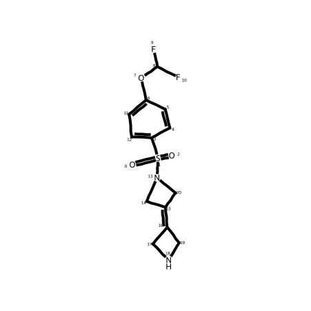 O=S(=O)(c1ccc(OC(F)F)cc1)N1CC(=C2CNC2)C1